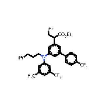 CCOC(=O)C(CC(C)C)c1cc(-c2ccc(C(F)(F)F)cc2)cc(N(CCCC(C)C)c2cc(C(F)(F)F)cc(C(F)(F)F)c2)c1